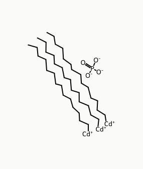 CCCCCCCCCCCCC[CH2][Cd+].CCCCCCCCCCCCC[CH2][Cd+].CCCCCCCCCCCCC[CH2][Cd+].O=P([O-])([O-])[O-]